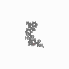 N#Cc1ccccc1S(=O)(=O)N1CCOC(C(=O)NC2C3CC4CC2CC(C(N)=O)(C4)C3)C1